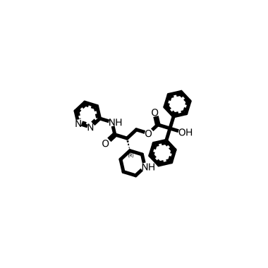 O=C(Nc1cccnn1)C(COC(=O)C(O)(c1ccccc1)c1ccccc1)[C@H]1CCCNC1